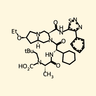 CCO[C@@H]1C[C@@H]2CN(C(=O)[C@@H](NC(=O)[C@H](C)N(CC(C)(C)C)C(=O)O)C3CCCCC3)[C@H](C(=O)Nc3snnc3-c3ccccc3)CN2C1